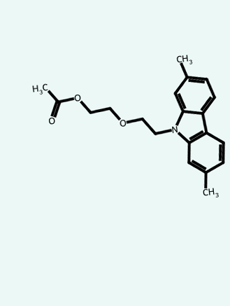 CC(=O)OCCOCCn1c2cc(C)ccc2c2ccc(C)cc21